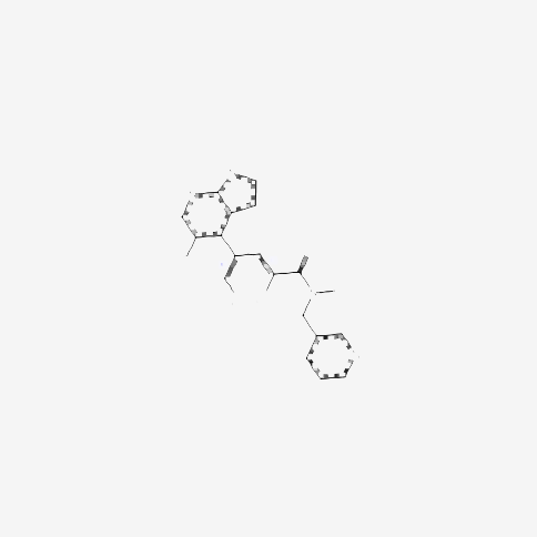 C/C=C(\C=C(/C)C(=O)N(C)Cc1cccnc1)c1c(Cl)cnc2[nH]ccc12